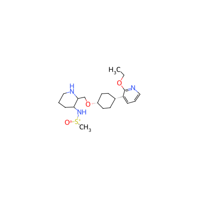 CCOc1ncccc1[C@H]1CC[C@@H](OCC2NCCCC2N[S+](C)[O-])CC1